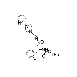 CC(C)(C)OC(=O)N[C@@H](CC(=O)N1CC(N2CCN(c3ccccn3)CC2)C1)Cc1ccccc1F